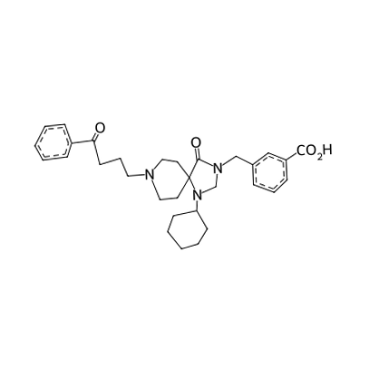 O=C(O)c1cccc(CN2CN(C3CCCCC3)C3(CCN(CCCC(=O)c4ccccc4)CC3)C2=O)c1